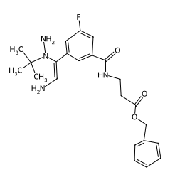 CC(C)(C)N(N)/C(=C\N)c1cc(F)cc(C(=O)NCCC(=O)OCc2ccccc2)c1